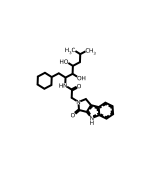 CC(C)CC(O)C(O)C(CC1CCCCC1)NC(=O)CN1Cc2c([nH]c3ccccc23)C1=O